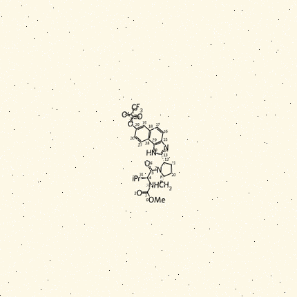 COC(=O)N[C@H](C(=O)N1[C@@H](C)CC[C@H]1c1nc2ccc3cc(OS(=O)(=O)C(F)(F)F)ccc3c2[nH]1)C(C)C